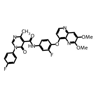 COc1cc2nccc(Oc3ccc(NC(=O)c4c(C)ncn(-c5ccc(F)cc5)c4=O)cc3F)c2nc1OC